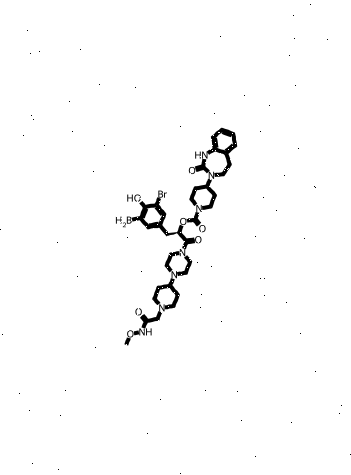 Bc1cc(C[C@@H](OC(=O)N2CCC(N3CCc4ccccc4NC3=O)CC2)C(=O)N2CCN(C3CCN(CC(=O)NOC)CC3)CC2)cc(Br)c1O